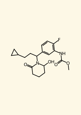 COC(=O)Nc1cc(C(CCC2CC2)N2C(=O)CCCC2O)ccc1F